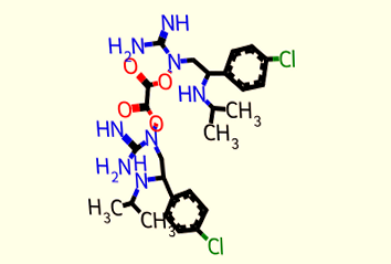 CC(C)NC(CN(OC(=O)C(=O)ON(CC(NC(C)C)c1ccc(Cl)cc1)C(=N)N)C(=N)N)c1ccc(Cl)cc1